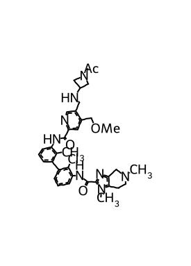 COCc1cc(C(=O)Nc2cccc(-c3cccc(NC(=O)c4nc5c(n4C)CCN(C)C5)c3Cl)c2C)ncc1CNC1CN(C(C)=O)C1